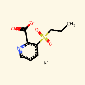 CCCS(=O)(=O)c1cccnc1C(=O)[O-].[K+]